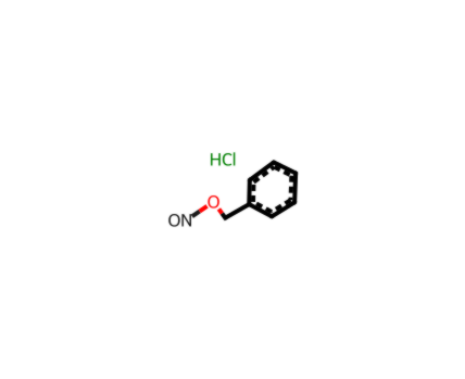 Cl.O=NOCc1ccccc1